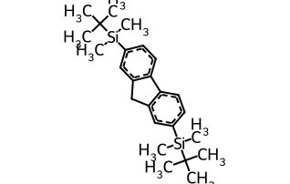 CC(C)(C)[Si](C)(C)c1ccc2c(c1)Cc1cc([Si](C)(C)C(C)(C)C)ccc1-2